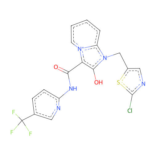 O=C(Nc1ccc(C(F)(F)F)cn1)c1c(O)n(Cc2cnc(Cl)s2)c2cccc[n+]12